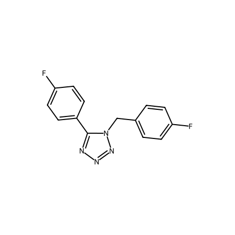 Fc1ccc(Cn2nnnc2-c2ccc(F)cc2)cc1